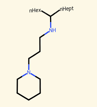 CCCCCCCC(CCCCCC)NCCCN1CCCCC1